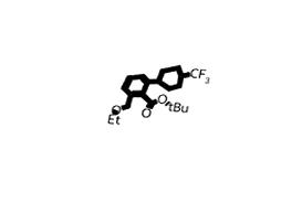 CCOCc1cccc(C2CCC(C(F)(F)F)CC2)c1C(=O)OC(C)(C)C